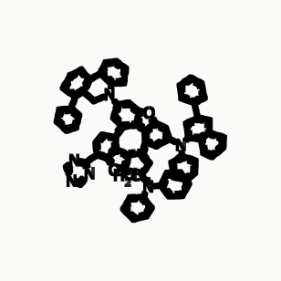 C=C(/C=c1/c2cc(N(c3ccccc3)c3cc(-c4ccccc4)cc4ccccc34)cc3oc4cc(N5Cc6c(-c7ccccc7)cccc6-c6ccccc65)cc(c5ccc(-c6ncncn6)c6oc(C)c1c65)c4c32)N(c1ccccc1)c1ccccc1